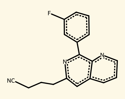 N#CCCCc1cc2cccnc2c(-c2cccc(F)c2)n1